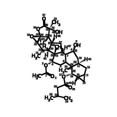 CC(=O)O[C@H]1CC2C([C@@H](O)C[C@H]3CC4C[C@@H]4[C@H](OC(=O)CC(C)C)[C@]23C)[C@@H]2C[C@@H]3[C@H]([C@H](C)[C@H]4O[C@]45OC(=O)[C@@](C)(O)[C@]35C)[C@@]12C